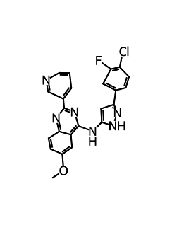 COc1ccc2nc(-c3cccnc3)nc(Nc3cc(-c4ccc(Cl)c(F)c4)n[nH]3)c2c1